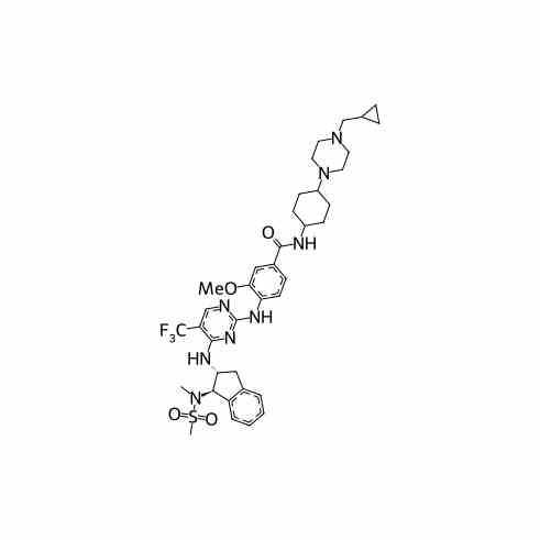 COc1cc(C(=O)NC2CCC(N3CCN(CC4CC4)CC3)CC2)ccc1Nc1ncc(C(F)(F)F)c(N[C@@H]2Cc3ccccc3[C@H]2N(C)S(C)(=O)=O)n1